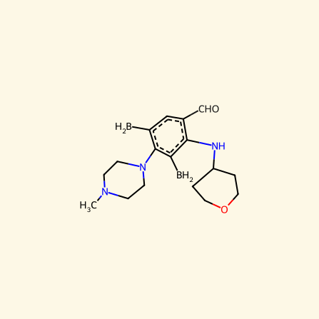 Bc1cc(C=O)c(NC2CCOCC2)c(B)c1N1CCN(C)CC1